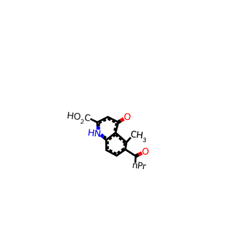 CCCC(=O)c1ccc2[nH]c(C(=O)O)cc(=O)c2c1C